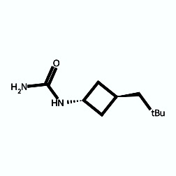 CC(C)(C)C[C@H]1C[C@H](NC(N)=O)C1